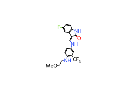 COCCNc1ccc(NC=C2C(=O)Nc3ccc(F)cc32)cc1C(F)(F)F